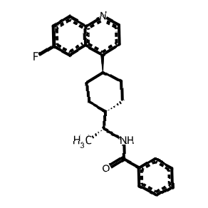 C[C@@H](NC(=O)c1ccccc1)[C@H]1CC[C@H](c2ccnc3ccc(F)cc32)CC1